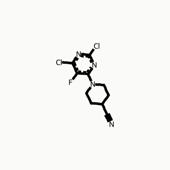 N#CC1CCN(c2nc(Cl)nc(Cl)c2F)CC1